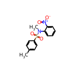 Cc1ccc(S(=O)(=O)N(C)c2ccccc2[N+](=O)[O-])cc1